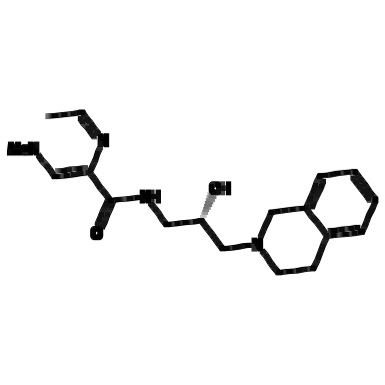 C/C=N\C(=C/NC)C(=O)NC[C@H](O)CN1CCc2ccccc2C1